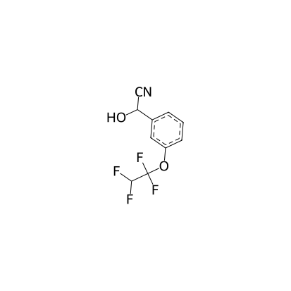 N#CC(O)c1cccc(OC(F)(F)C(F)F)c1